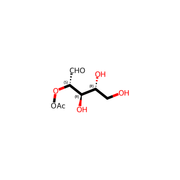 CC(=O)OO[C@H](C=O)[C@H](O)[C@H](O)CO